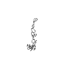 O=c1c2ccc(OC[C@H]3CCCO3)cc2ccn1-c1ccc(O[C@@H]2C[C@H]3CC[C@@H](C2)N3)c(F)c1